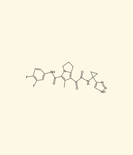 Cc1c(C(=O)C(=O)NC2(c3c[nH]nn3)CC2)c2n(c1C(=O)Nc1ccc(F)c(F)c1)CCC2